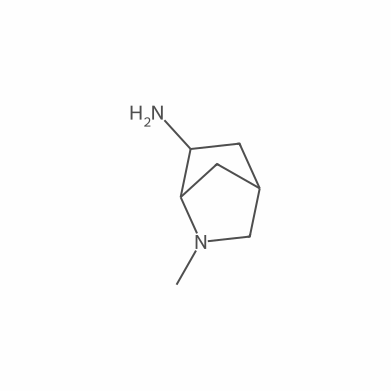 CN1CC2CC(N)C1C2